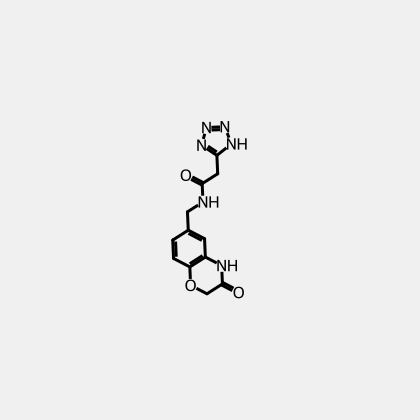 O=C(Cc1nnn[nH]1)NCc1ccc2c(c1)NC(=O)CO2